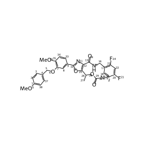 COc1ccc(COc2cc(-c3nc(C(=O)NCc4ccc(F)cc4F)c(C(C)OC(N)=O)o3)ccc2OC)cc1